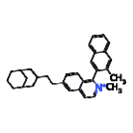 Cc1cc2ccccc2cc1-c1c2ccc(CCC3CC4CCCC(C4)C3)cc2cc[n+]1C